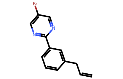 C=CCc1cccc(-c2ncc(Br)cn2)c1